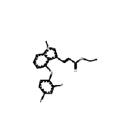 CCOC(=O)C=Cc1cn(C)c2cccc(Oc3ccc(F)cc3F)c12